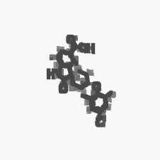 Cc1cc(Cl)cc(C)c1O[C@H]1CC[C@]2(CC1)C(=O)Nc1ccc(C(=O)O)nc12